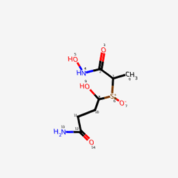 CC(C(=O)NO)[S+]([O-])C(O)CCC(N)=O